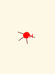 CCCCCCCCC=CCCCCCCCC(=O)O[C@@H]([C@H](OC(=O)CCCCCCCC=CCCCCCCCC)[C@@H](OC(=O)CCCCCCCC=CCCCCCCCC)C1OCCO1)[C@@H](CO)OC(=O)CCCCCCCC=CCCCCCCCC